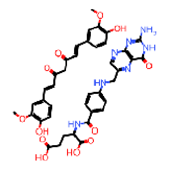 COc1cc(/C=C/C(=O)CC(=O)/C=C/c2ccc(O)c(OC)c2)ccc1O.Nc1nc2ncc(CNc3ccc(C(=O)NC(CCC(=O)O)C(=O)O)cc3)nc2c(=O)[nH]1